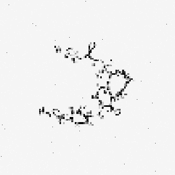 COC(=O)CCS(=O)(=O)c1nccc2c1CCN(Cc1ccc(OC)cc1)C2=O